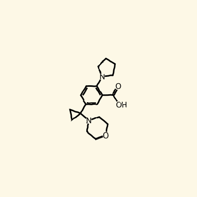 O=C(O)c1cc(C2(N3CCOCC3)CC2)ccc1N1CCCC1